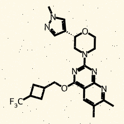 Cc1cc2c(OCC3CC(C(F)(F)F)C3)nc(N3CCO[C@@H](c4cnn(C)c4)C3)nc2nc1C